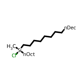 CCCCCCCCCCCCCCCCCC[Si](C)(Cl)CCCCCCCC